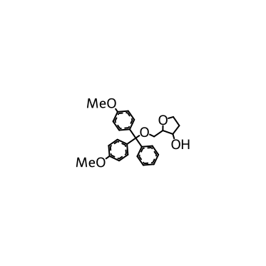 COc1ccc(C(OCC2OCCC2O)(c2ccccc2)c2ccc(OC)cc2)cc1